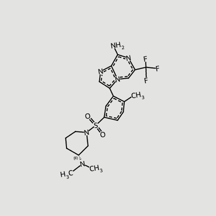 Cc1ccc(S(=O)(=O)N2CCC[C@@H](N(C)C)C2)cc1-c1cnc2c(N)nc(C(F)(F)F)cn12